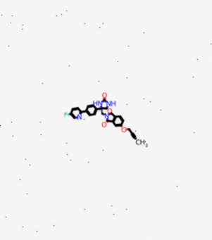 CC#CCOc1ccc2c(c1)C(=O)N(C[C@@]1(c3ccc(-c4ccc(F)cn4)cc3)NC(=O)NC1=O)C2